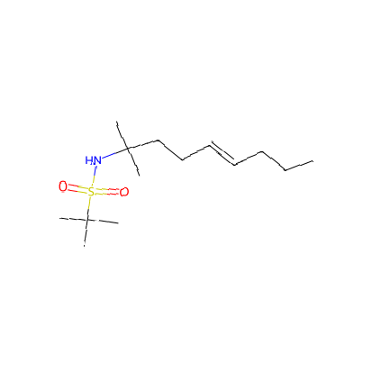 CCC/C=C/CCC(C)(C)NS(=O)(=O)C(C)(C)C